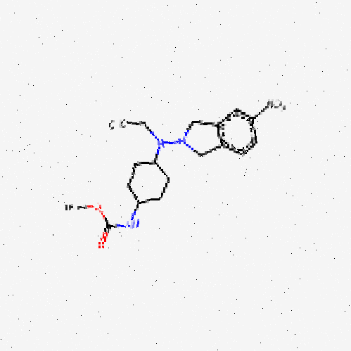 CC(C)(C)OC(=O)NC1CCC(N(CC=O)N2Cc3ccc([N+](=O)[O-])cc3C2)CC1